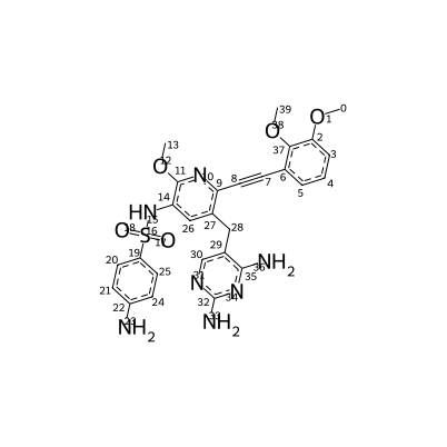 COc1cccc(C#Cc2nc(OC)c(NS(=O)(=O)c3ccc(N)cc3)cc2Cc2cnc(N)nc2N)c1OC